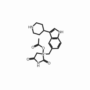 CC(=O)O[N+]1(Cc2ccc3[nH]cc(C4CCNCC4)c3c2)CC(=O)NC1=O